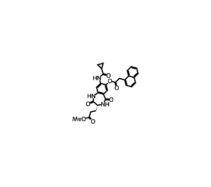 COC(=O)CC[C@H]1NC(=O)c2cc(OC(=O)Cc3cccc4ccccc34)c(NC(=O)C3CC3)cc2NC1=O